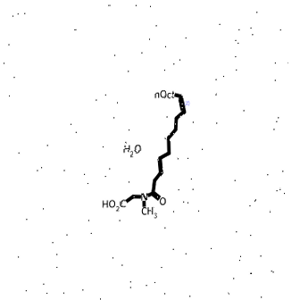 CCCCCCCC/C=C\CCCCCCCC(=O)N(C)CC(=O)O.O